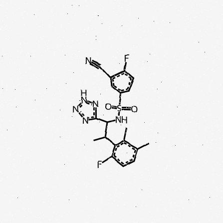 Cc1ccc(F)c(C(C)C(NS(=O)(=O)c2ccc(F)c(C#N)c2)c2nn[nH]n2)c1C